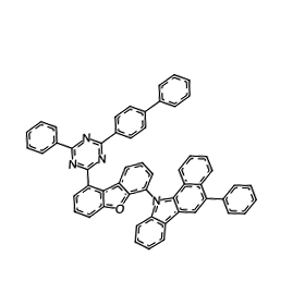 c1ccc(-c2ccc(-c3nc(-c4ccccc4)nc(-c4cccc5oc6c(-n7c8ccccc8c8cc(-c9ccccc9)c9ccccc9c87)cccc6c45)n3)cc2)cc1